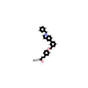 COC(=O)CCc1ccc(OCc2cccc(-c3ccc4c(ccn4Cc4ccccc4)c3)c2)cc1